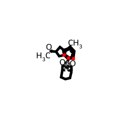 CC(=O)C1Cc2cccc(S(=O)(=O)N3C4CCCC3CN(c3ccc(C)cc3)C4)c2C1